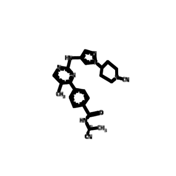 Cc1cnc(Nc2cnn(C3CCN(C#N)CC3)c2)nc1-c1ccc(C(=O)N[C@@H](C)C#N)cc1